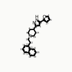 c1coc(-c2cc(C3CCN(CCc4cccc5ccccc45)CC3)n[nH]2)c1